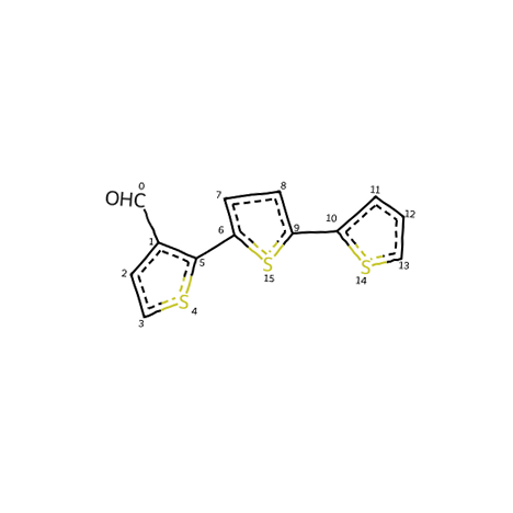 O=Cc1ccsc1-c1ccc(-c2cccs2)s1